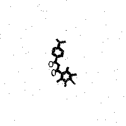 Cc1c(C)c(C)c(C(=O)CC(=O)c2ccc(C(C)C)cc2)c(C)c1C